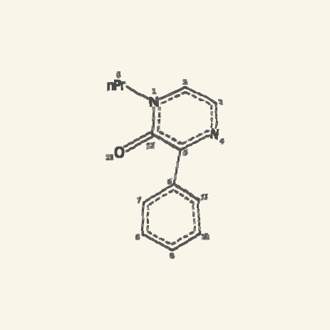 CCCn1ccnc(-c2ccccc2)c1=O